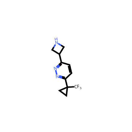 FC(F)(F)C1(c2ccc(C3CNC3)nn2)CC1